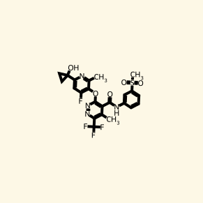 Cc1nc(C2(O)CC2)cc(F)c1Oc1nnc(C(F)(F)F)c(C)c1C(=O)Nc1cccc(S(C)(=O)=O)c1